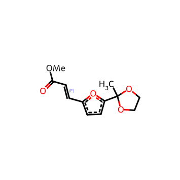 COC(=O)/C=C/c1ccc(C2(C)OCCO2)o1